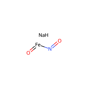 O=[N][Fe]=[O].[NaH]